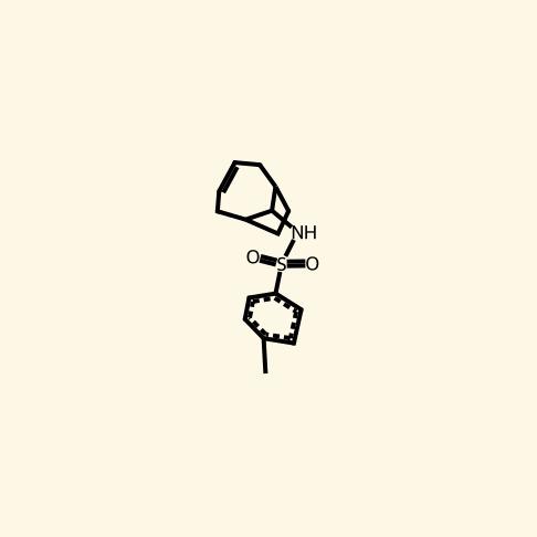 Cc1ccc(S(=O)(=O)NC2C3CC=CCC2CC3)cc1